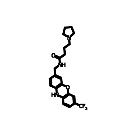 O=C(CCCN1CCCC1)NCc1ccc2c(c1)Oc1cc(C(F)(F)F)ccc1N2